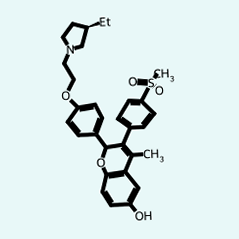 CC[C@@H]1CCN(CCOc2ccc(C3Oc4ccc(O)cc4C(C)=C3c3ccc(S(C)(=O)=O)cc3)cc2)C1